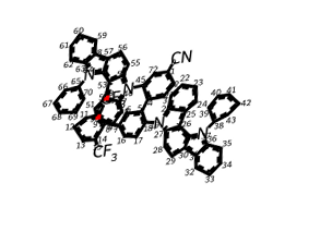 N#Cc1ccc(-c2cc(-c3c(C(F)(F)F)cccc3C(F)(F)F)ccc2-n2c3ccccc3c3c2ccc2c4ccccc4n(-c4ccccc4)c23)c(-n2c3ccccc3c3c2ccc2c4ccccc4n(-c4ccccc4)c23)c1